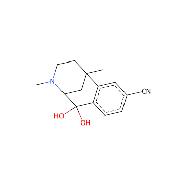 CN1CCC2(C)CC1C(O)(O)c1ccc(C#N)cc12